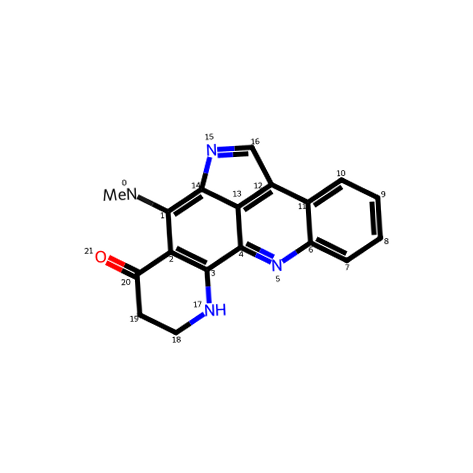 CNc1c2c(c3nc4ccccc4c4c3c1N=C4)NCCC2=O